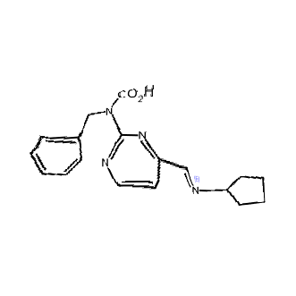 O=C(O)N(Cc1ccccc1)c1nccc(/C=N/C2CCCC2)n1